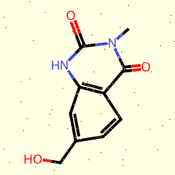 Cn1c(=O)[nH]c2cc(CO)ccc2c1=O